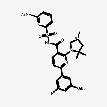 CC(=O)Nc1cccc(S(=O)(=O)NC(=O)c2ccc(-c3cc(F)cc(OCC(C)C)c3)nc2N2C[C@@H](C)CC2(C)C)n1